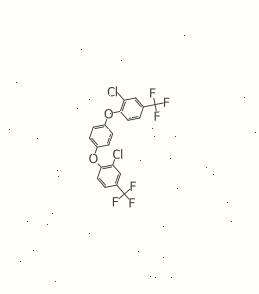 FC(F)(F)c1ccc(Oc2ccc(Oc3ccc(C(F)(F)F)cc3Cl)cc2)c(Cl)c1